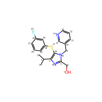 CC(C)c1nc(CO)n(Cc2cccnc2)c1Sc1cccc(F)c1